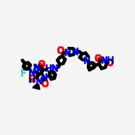 Cc1ccc(Nc2c3c(=O)n(C4CC4)c(=O)n(-c4cccc(NCC5CCC(C(=O)N6CCN(CC7CCN(c8cccc(C9CCC(=O)NC9=O)c8)CC7)CC6)CC5)c4)c3c(C)c(=O)n2C)c(F)c1